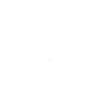 c1ccc(-c2cc(-c3cc4c5cccc6c7cccc8c9cccc%10c%11cccc%12c%13cccc%14c(n3)c4c3c(c65)c(c87)c(c9%10)c(c%11%12)c3c%13%14)c(-c3ccccc3)c3c4ccccc4c4ccccc4c23)cc1